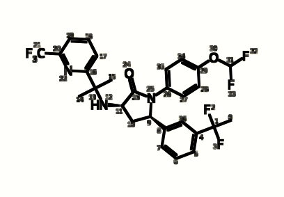 CC(F)(F)c1cccc([C@H]2C[C@@H](NC(C)(C)c3cccc(C(F)(F)F)n3)C(=O)N2c2ccc(OC(F)F)cc2)c1